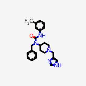 O=C(Nc1cccc(C(F)(F)F)c1)N(Cc1ccccc1)C1CCN(Cc2c[nH]cn2)CC1